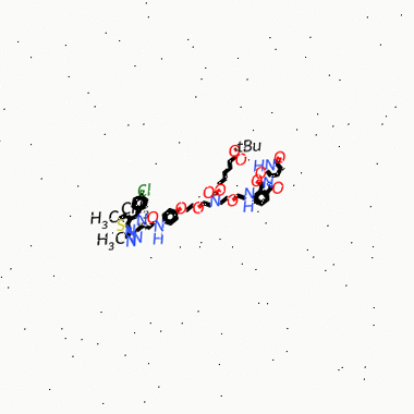 CC1=C(C)C2C(c3ccc(Cl)cc3)=N[C@@H](CC(=O)Nc3ccc(OCCOCCN(CCOCCNc4cccc5c4C(=O)N(C4CCC(=O)NC4=O)C5=O)C(=O)OCCCCCC(=O)OC(C)(C)C)cc3)c3nnc(C)n3C2S1